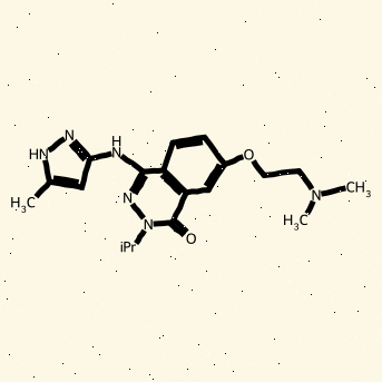 Cc1cc(Nc2nn(C(C)C)c(=O)c3cc(OCCN(C)C)ccc23)n[nH]1